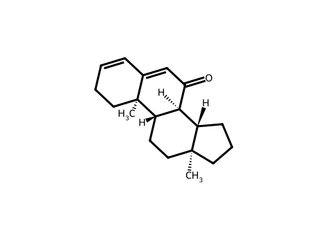 C[C@@]12CCC[C@H]1[C@@H]1C(=O)C=C3C=CCC[C@]3(C)[C@H]1CC2